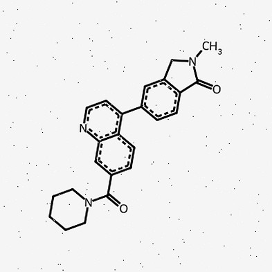 CN1Cc2cc(-c3ccnc4cc(C(=O)N5CCCCC5)ccc34)ccc2C1=O